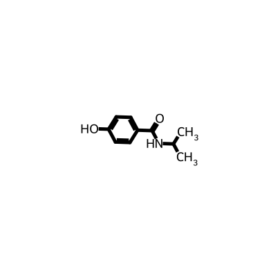 CC(C)NC(=O)c1ccc(O)cc1